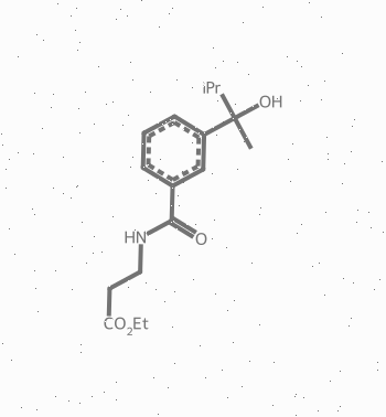 CCOC(=O)CCNC(=O)c1cccc(C(C)(O)C(C)C)c1